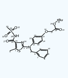 Cc1sc(N(Cc2ccccc2)c2ccc(OCC(=O)OC(C)(C)C)cc2)nc1C(=O)NS(C)(=O)=O